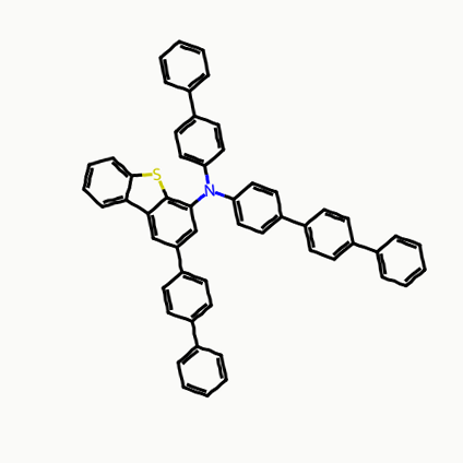 c1ccc(-c2ccc(-c3ccc(N(c4ccc(-c5ccccc5)cc4)c4cc(-c5ccc(-c6ccccc6)cc5)cc5c4sc4ccccc45)cc3)cc2)cc1